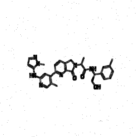 Cc1cccc([C@@H](CO)NC(=O)C(C)N2Cc3ccc(-c4cc(Nc5ccnn5C)ncc4C)nc3C2=O)c1